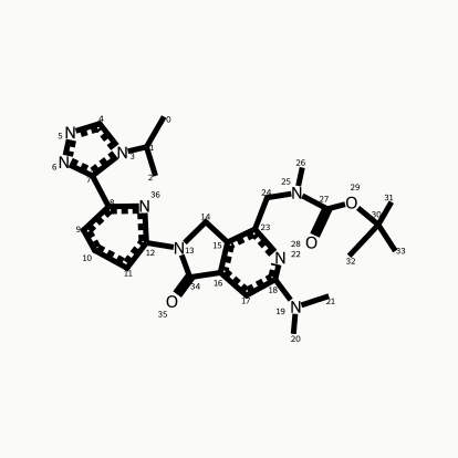 CC(C)n1cnnc1-c1cccc(N2Cc3c(cc(N(C)C)nc3CN(C)C(=O)OC(C)(C)C)C2=O)n1